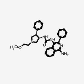 COCCN1C[C@@H](NC(=O)Nc2c(-c3ccccc3)nc(N)c3ccccc23)[C@H](c2ccccc2)C1